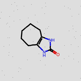 O=c1[nH]c2c([nH]1)CCCCC2